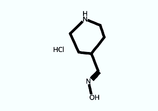 Cl.ON=CC1CCNCC1